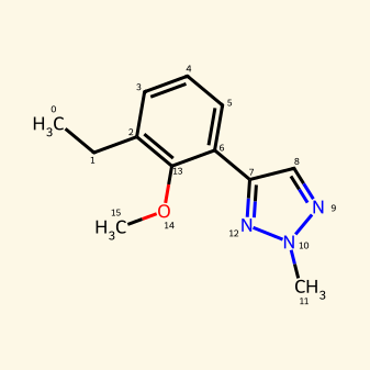 CCc1cccc(-c2cnn(C)n2)c1OC